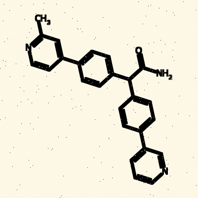 Cc1cc(-c2ccc(C(C(N)=O)c3ccc(-c4cccnc4)cc3)cc2)ccn1